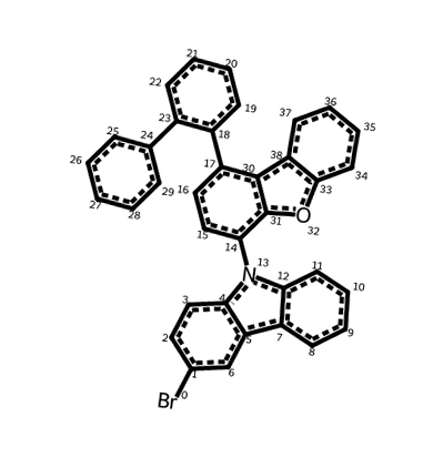 Brc1ccc2c(c1)c1ccccc1n2-c1ccc(-c2ccccc2-c2ccccc2)c2c1oc1ccccc12